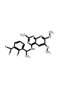 COc1cc2c(NC(C)c3cccc(C(F)F)c3F)nc(C)nc2nc1OC